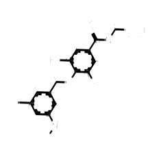 CC(C)Nc1cc(Cl)cc(COc2c(Br)cc(C(=O)NCC(=O)O)cc2Br)c1